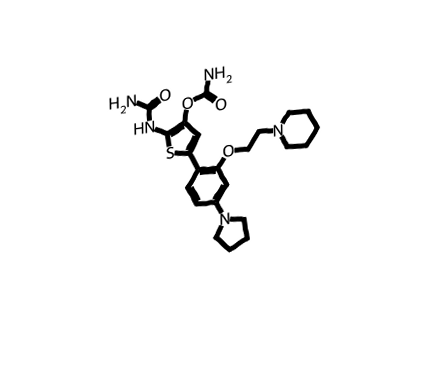 NC(=O)Nc1sc(-c2ccc(N3CCCC3)cc2OCCN2CCCCC2)cc1OC(N)=O